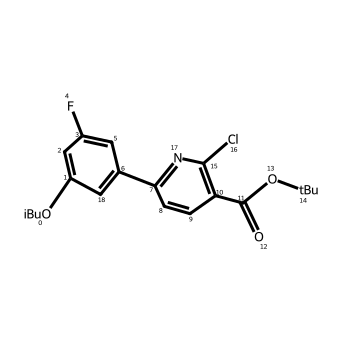 CC(C)COc1cc(F)cc(-c2ccc(C(=O)OC(C)(C)C)c(Cl)n2)c1